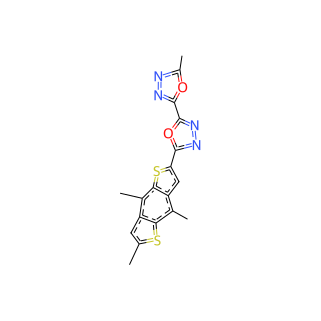 Cc1nnc(-c2nnc(-c3cc4c(C)c5sc(C)cc5c(C)c4s3)o2)o1